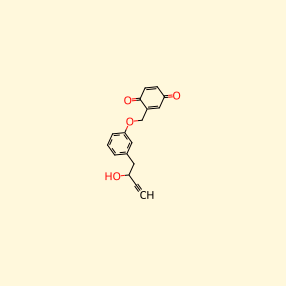 C#CC(O)Cc1cccc(OCC2=CC(=O)C=CC2=O)c1